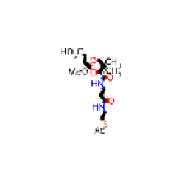 COC1(CCC(=O)O)OCC(C)(C)[C@H](C(=O)NCCC(=O)NCCSC(C)=O)O1